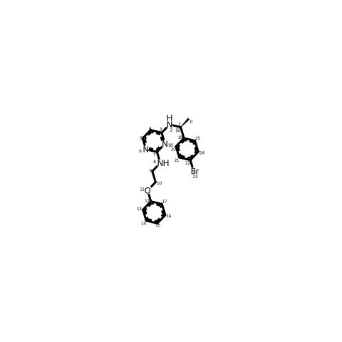 C[C@H](Nc1ccnc(NCCOc2ccccc2)n1)c1ccc(Br)cc1